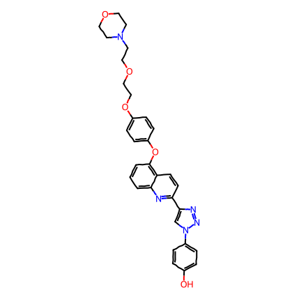 Oc1ccc(-n2cc(-c3ccc4c(Oc5ccc(OCCOCCN6CCOCC6)cc5)cccc4n3)nn2)cc1